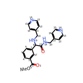 COC(=O)c1cccc(C(NCc2ccncc2)C(=O)NCc2ccncc2)c1